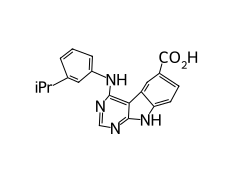 CC(C)c1cccc(Nc2ncnc3[nH]c4ccc(C(=O)O)cc4c23)c1